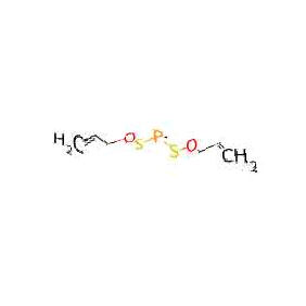 C=CCOS[P]SOCC=C